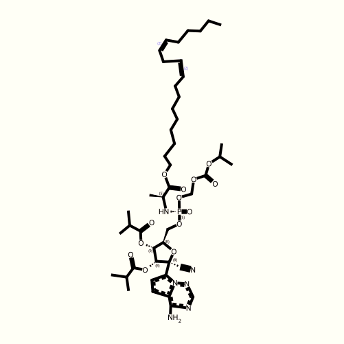 CCCCC/C=C\C/C=C\CCCCCCCCOC(=O)[C@H](C)N[P@@](=O)(OCOC(=O)OC(C)C)OC[C@H]1O[C@@](C#N)(c2ccc3c(N)ncnn23)[C@H](OC(=O)C(C)C)[C@@H]1OC(=O)C(C)C